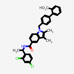 Cc1c(C)n(Cc2ccc(-c3ccccc3C(=O)O)cc2)c2ccc(C(=O)NC(C)c3ccc(Cl)cc3Cl)cc12